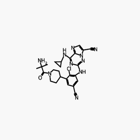 CC(C)(N)C(=O)N1CCC(c2cc(C#N)cc(Nc3nc(NC4CC4)c4ncc(C#N)n4n3)c2Cl)CC1